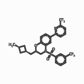 C[C@H]1C[C@@H](CC2CN(S(=O)(=O)c3cccc(C(F)(F)F)c3)c3cc(-c4cccc(C(F)(F)F)n4)ccc3O2)C1